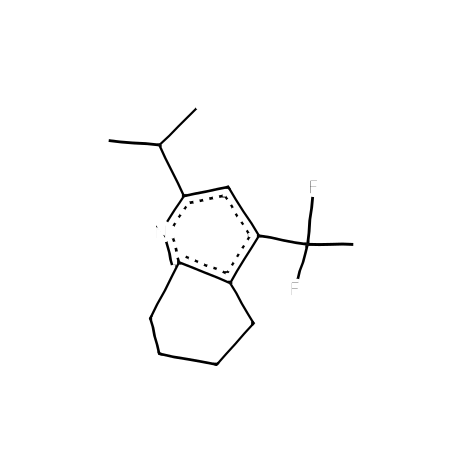 CC(C)c1cc(C(F)(F)F)c2c(n1)CCCC2